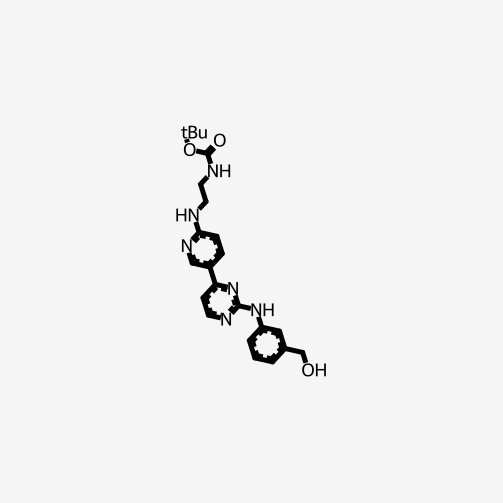 CC(C)(C)OC(=O)NCCNc1ccc(-c2ccnc(Nc3cccc(CO)c3)n2)cn1